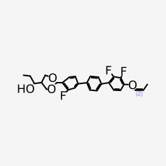 C/C=C\Oc1ccc(-c2ccc(-c3ccc(C4OCC(C(O)CC)CO4)c(F)c3)cc2)c(F)c1F